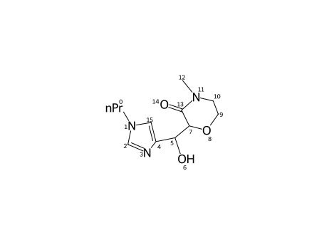 CCCn1cnc(C(O)C2OCCN(C)C2=O)c1